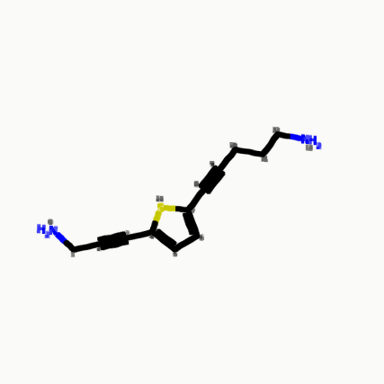 NCC#Cc1ccc(C#CCCCN)s1